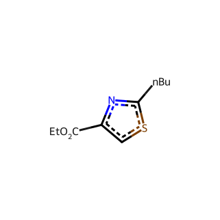 CCCCc1nc(C(=O)OCC)cs1